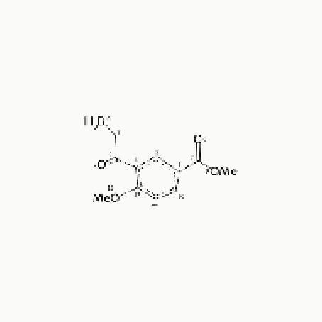 BCC(=O)c1cc(C(=O)OC)ccc1OC